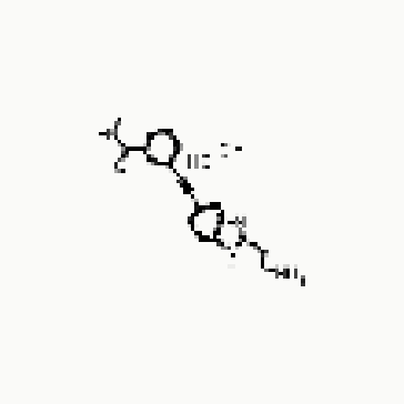 CN(C)C(=O)c1cccc(C#Cc2ccc3[nH]c(CCN)nc3c2)c1.Cl.Cl